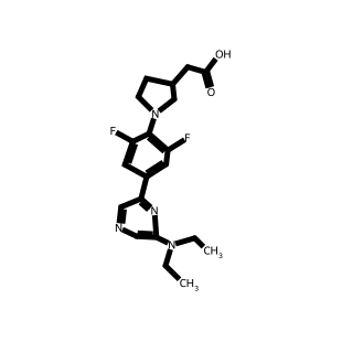 CCN(CC)c1cncc(-c2cc(F)c(N3CCC(CC(=O)O)C3)c(F)c2)n1